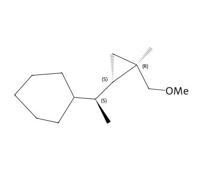 COC[C@]1(C)C[C@H]1[C@@H](C)C1CCCCC1